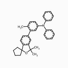 Cc1ccc(N(c2ccccc2)c2ccccc2)cc1-c1ccc2c(c1)C(C)(C)OC21CCCC1